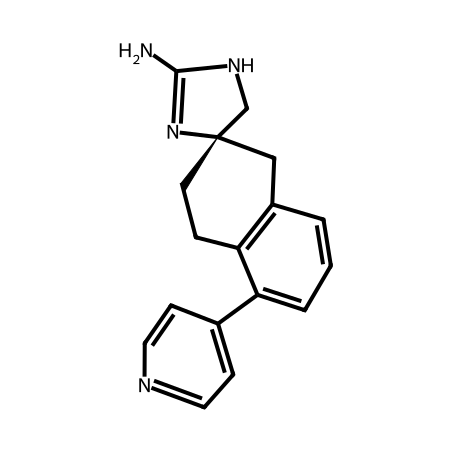 NC1=N[C@]2(CCc3c(cccc3-c3ccncc3)C2)CN1